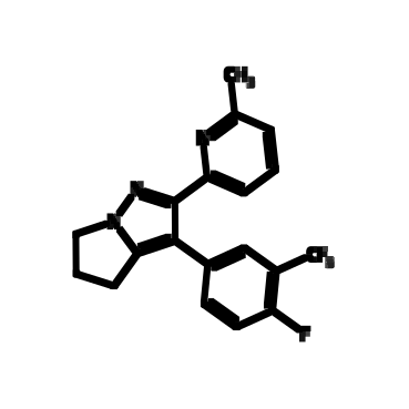 Cc1cccc(-c2nn3c(c2-c2ccc(F)c(C(F)(F)F)c2)CCC3)n1